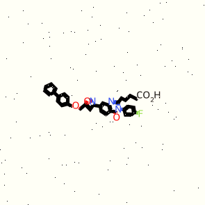 O=C(O)CCCCc1nc2cc(-c3cc(COCc4ccc(-c5ccccc5)cc4)on3)ccc2c(=O)n1-c1ccc(F)cc1